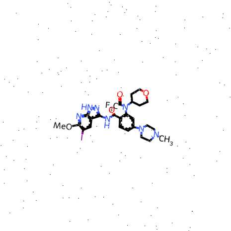 COc1nc2[nH]nc(NC(=O)c3ccc(N4CCN(C)CC4)cc3N(C(=O)C(F)(F)F)C3CCOCC3)c2cc1I